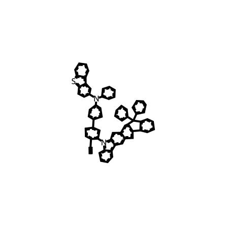 C#Cc1ccc(-c2ccc(N(c3ccccc3)c3ccc4sc5ccccc5c4c3)cc2)cc1-n1c2ccccc2c2cc3cc4c(cc3cc21)C(c1ccccc1)(c1ccccc1)c1ccccc1-4